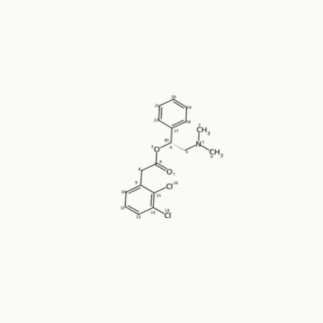 CN(C)C[C@H](OC(=O)Cc1cccc(Cl)c1Cl)c1ccccc1